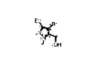 CCc1nn(C)c(CO)c1Br